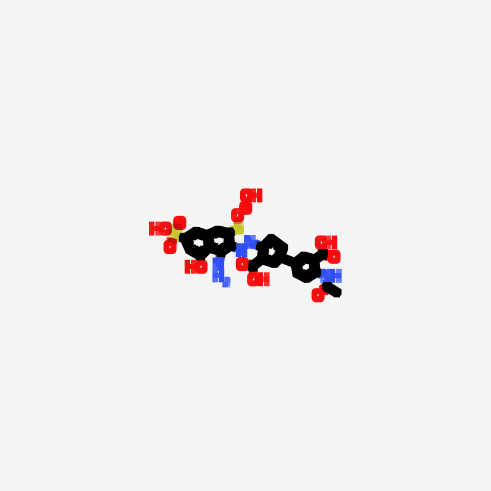 CC(=O)Nc1ccc(-c2ccc(N=Nc3c(SOOO)cc4cc(S(=O)(=O)O)cc(O)c4c3N)c(C(=O)O)c2)cc1C(=O)O